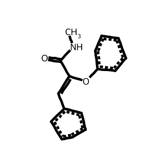 CNC(=O)C(=Cc1ccccc1)Oc1ccccc1